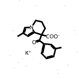 Cc1cccc(C(=O)C2(C(=O)[O-])CCCn3cc(C)cc32)c1.[K+]